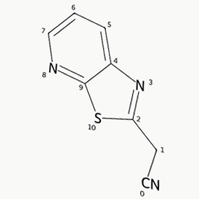 N#CCc1nc2cccnc2s1